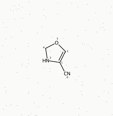 N#CC1=[C]OCN1